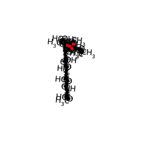 C=C(C)C(=O)OCCC[C@@H](O)[C@](O)(O[C@@H](C)CC)C(NC(C)=O)[C@@H](OC)O[C@@H]1C(C(=O)CNCCCCCN(O)C(=O)CCC(=O)NCCCCCN(O)C(=O)CCC(=O)NCCCCN(O)C(C)=O)OC(C)C(O)[C@H]1O